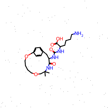 CC1(C)COCCCCOc2ccc(cc2)CC(NC(=O)NC(CCCCN)C(=O)O)C(=O)N1